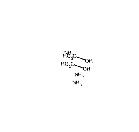 N.N.N.O=C(O)O.O=C(O)O